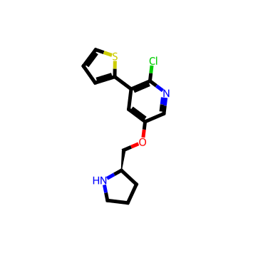 Clc1ncc(OC[C@H]2CCCN2)cc1-c1cccs1